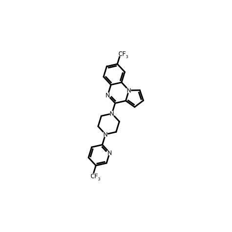 FC(F)(F)c1ccc(N2CCN(c3nc4ccc(C(F)(F)F)cc4n4cccc34)CC2)nc1